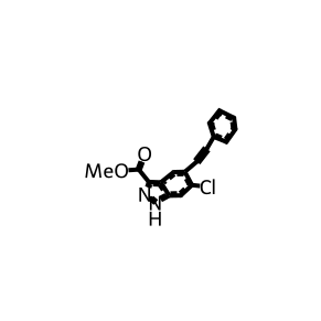 COC(=O)c1n[nH]c2cc(Cl)c(C#Cc3ccccc3)cc12